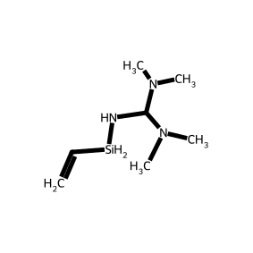 C=C[SiH2]NC(N(C)C)N(C)C